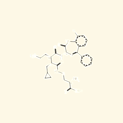 COC(=O)[C@@H](N)CSNC(=O)[C@@H](CC1CC1)[C@@H](CCC(F)(F)F)C(=O)N[C@H]1N=C(c2ccccc2)c2cccc(F)c2NC1=O